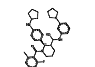 Cc1cccc(F)c1C(=O)N1CCCC(C(O)Nc2cccc(N3CCCC3)c2)[C@@H]1c1ccc(NC2CCCC2)cc1